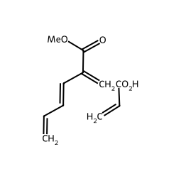 C=CC(=O)O.C=CC=CC(=C)C(=O)OC